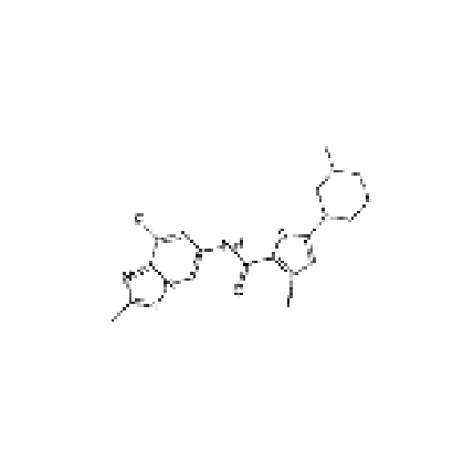 Cc1cn2cc(NC(=O)c3sc(C4CCCC(C)C4)cc3F)cc(F)c2n1